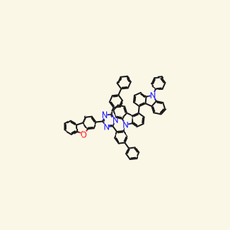 C1=C(c2nc(-c3ccc(-c4ccccc4)cc3)nc(-c3ccc(-c4ccccc4)cc3-n3c4c(c5c(-c6cccc7c6c6ccccc6n7-c6ccccc6)cccc53)=CCCC=4)n2)C=C2Oc3ccccc3C2C1